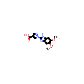 COc1cc2nc(-n3cc(C(=O)O)cn3)[nH]c2cc1OC